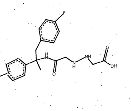 CC(Cc1ccc(F)cc1)(NC(=O)CNNCC(=O)O)c1ccc(F)cc1